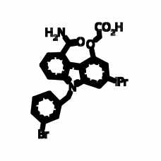 CC(C)c1cc(OCC(=O)O)c2c3c(C(N)=O)cccc3n(Cc3cccc(Br)c3)c2c1